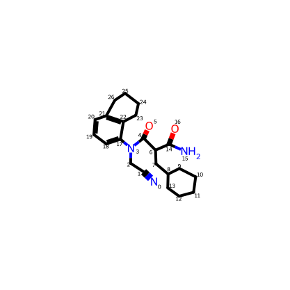 N#CCN(C(=O)C(CC1CCCCC1)C(N)=O)c1cccc2c1CCCC2